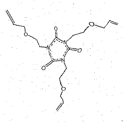 C=CCOCCn1c(=O)n(CCOCC=C)c(=O)n(CCOCC=C)c1=O